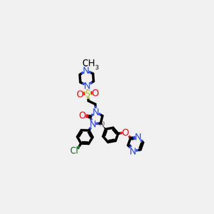 CN1CCN(S(=O)(=O)CCN2C[C@H](c3cccc(Oc4cnccn4)c3)N(c3ccc(Cl)cc3)C2=O)CC1